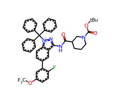 CC(C)(C)OC(=O)N1CCCC(C(=O)Nc2nn(C(c3ccccc3)(c3ccccc3)c3ccccc3)c3ccc(-c4cc(OC(F)(F)F)ccc4F)cc23)C1